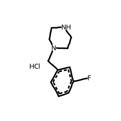 Cl.Fc1cccc(CN2CCNCC2)c1